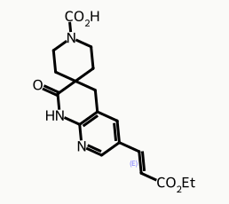 CCOC(=O)/C=C/c1cnc2c(c1)CC1(CCN(C(=O)O)CC1)C(=O)N2